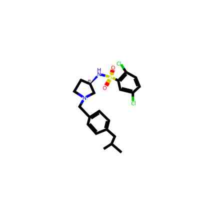 CC(C)Cc1ccc(CN2CC[C@@H](NS(=O)(=O)c3cc(Cl)ccc3Cl)C2)cc1